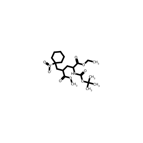 CCOC(=O)C(CC(CC1([N+](=O)[O-])CCCCC1)C(=O)OC)NC(=O)OC(C)(C)C